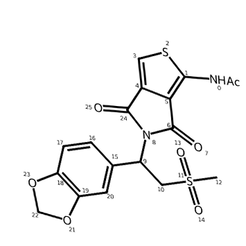 CC(=O)Nc1scc2c1C(=O)N(C(CS(C)(=O)=O)c1ccc3c(c1)OCO3)C2=O